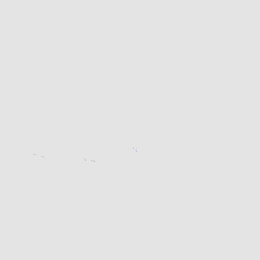 c1ccc(-c2ccc(-c3ccc(N(c4ccc(-c5ccccc5)cc4)c4cc5c(cc4-c4ccc(-c6ccccc6-c6ccccc6)cc4)-c4ccccc4C5(c4ccccc4)c4ccccc4)cc3)cc2)cc1